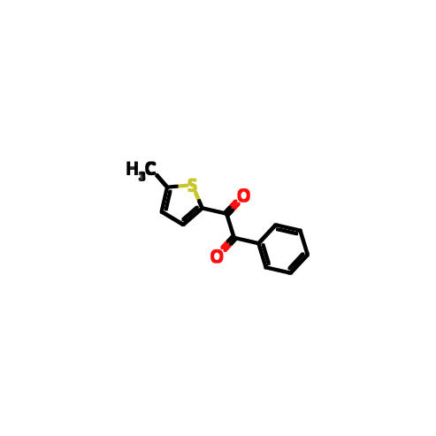 Cc1ccc(C(=O)C(=O)c2ccccc2)s1